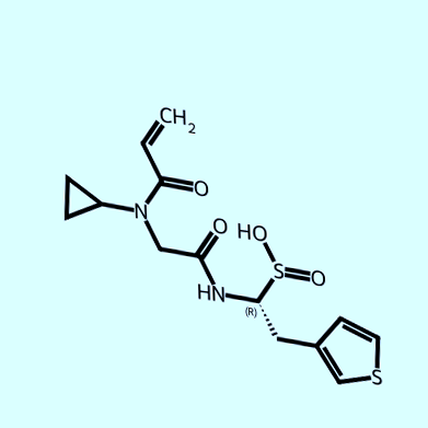 C=CC(=O)N(CC(=O)N[C@@H](Cc1ccsc1)S(=O)O)C1CC1